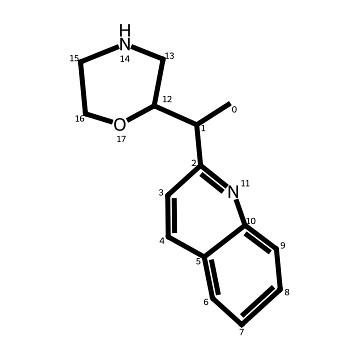 CC(c1ccc2ccccc2n1)C1CNCCO1